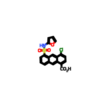 O=C(O)c1ccc(Cl)c2cc3c(S(=O)(=O)Nc4ccco4)cccc3cc12